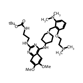 COc1cc2nc(NCCNC(=O)OC(C)(C)C)nc(NC3CCN(Cc4c(OCCN(C)C)cccc4N(C)C)CC3)c2cc1OC